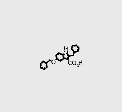 O=C(O)c1c(Cc2ccccc2)[nH]c2ccc(OCc3ccccc3)cc12